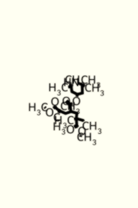 CCC(C)(CC(CC(C)(C)C(=O)OC)C(=O)OC1CC(C)(C)NC(C)(C)C1)C(=O)OC